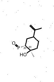 C=C(C)C1CC[C@@](C)(O)[C@H](P=O)C1